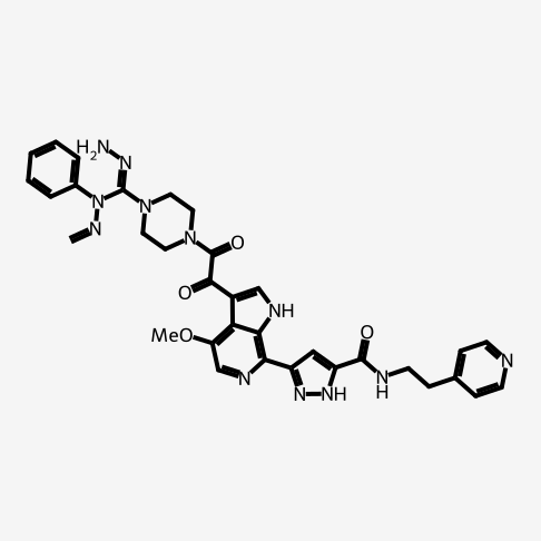 C=NN(/C(=N\N)N1CCN(C(=O)C(=O)c2c[nH]c3c(-c4cc(C(=O)NCCc5ccncc5)[nH]n4)ncc(OC)c23)CC1)c1ccccc1